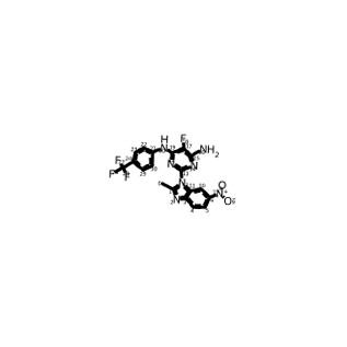 Cc1nc2ccc([N+](=O)[O-])cc2n1-c1nc(N)c(F)c(Nc2ccc(C(F)(F)F)cc2)n1